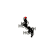 CCCCOc1ccc(S(=O)(=O)Nc2ccc(Oc3ccc(NC(=O)c4ccc(OC(C)C)cc4)c(C(=O)O)c3)cc2C=CC(=O)O)cc1